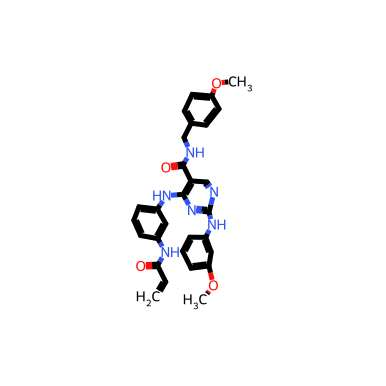 C=CC(=O)Nc1cccc(Nc2nc(Nc3cccc(OC)c3)ncc2C(=O)NCc2ccc(OC)cc2)c1